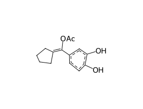 CC(=O)OC(=C1CCCC1)c1ccc(O)c(O)c1